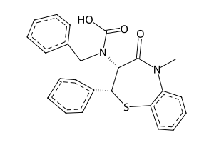 CN1C(=O)[C@@H](N(Cc2ccccc2)C(=O)O)[C@@H](c2ccccc2)Sc2ccccc21